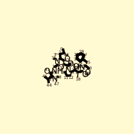 CC[C@@H](C)[C@H]([C@H](CC(=O)N1CCC[C@@H]1[C@@H](OC)[C@H](C)C(=O)N[C@@H](C=O)Cc1ccccc1)OC)N(C)C(=O)CNC(=O)C(C(C)C)N(C)C